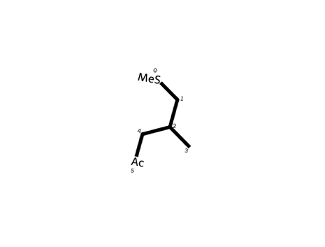 CSCC(C)CC(C)=O